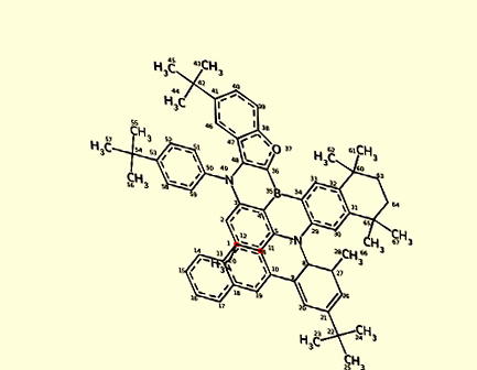 Cc1cc2c3c(c1)N(C1C(c4ccc5ccccc5c4)=CC(C(C)(C)C)=CC1C)c1cc4c(cc1B3c1oc3ccc(C(C)(C)C)cc3c1N2c1ccc(C(C)(C)C)cc1)C(C)(C)CCC4(C)C